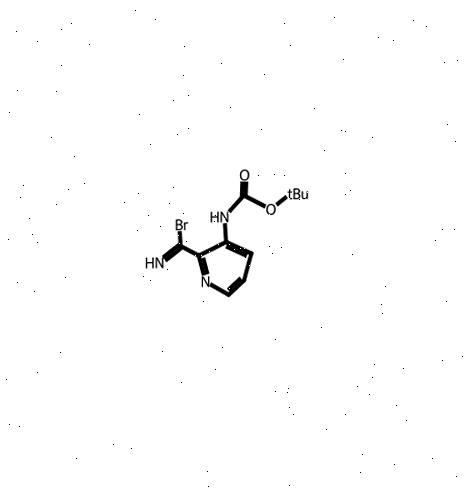 CC(C)(C)OC(=O)Nc1cccnc1C(=N)Br